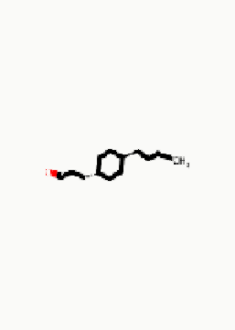 CCCC[C@H]1CC[C@H](CCC=O)CC1